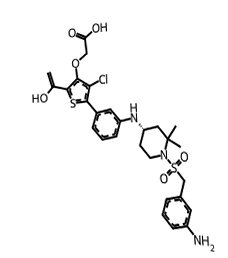 C=C(O)c1sc(-c2cccc(N[C@H]3CCN(S(=O)(=O)Cc4cccc(N)c4)C(C)(C)C3)c2)c(Cl)c1OCC(=O)O